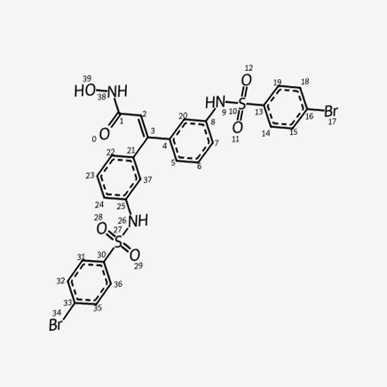 O=C(C=C(c1cccc(NS(=O)(=O)c2ccc(Br)cc2)c1)c1cccc(NS(=O)(=O)c2ccc(Br)cc2)c1)NO